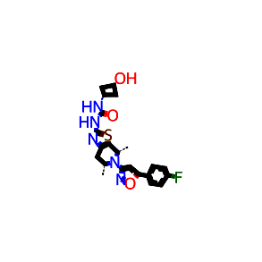 C[C@@H]1Cc2nc(NC(=O)N[C@H]3C[C@@H](O)C3)sc2[C@H](C)N1c1cc(-c2ccc(F)cc2)on1